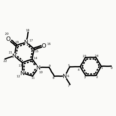 Cc1ccc(CN(C)CCn2cnc3c2c(=O)n(C)c(=O)n3C)cc1